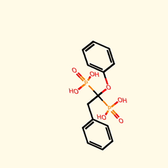 O=P(O)(O)C(Cc1ccccc1)(Oc1ccccc1)P(=O)(O)O